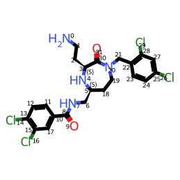 NCC[C@@H]1N[C@H](CNC(=O)c2ccc(Cl)c(Cl)c2)CCN(Cc2ccc(Cl)cc2Cl)C1=O